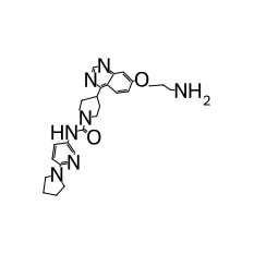 NCCCOc1ccc2c(C3CCN(C(=O)Nc4ccc(N5CCCC5)nc4)CC3)ncnc2c1